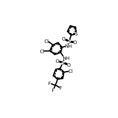 O=S(=O)(Nc1cc(Cl)c(Cl)cc1NS(=O)(=O)c1ccc(C(F)(F)F)cc1Cl)c1cccs1